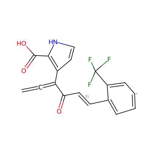 C=C=C(C(=O)/C=C/c1cc[c]cc1C(F)(F)F)c1cc[nH]c1C(=O)O